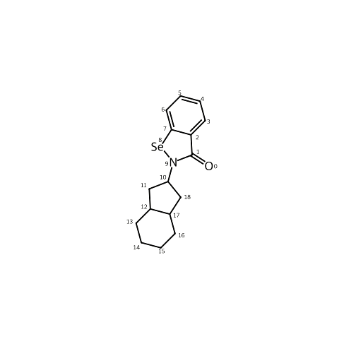 O=c1c2ccccc2[se]n1C1CC2CCCCC2C1